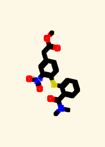 COC(=O)Cc1ccc(Sc2ccccc2C(=O)N(C)C)c([N+](=O)[O-])c1